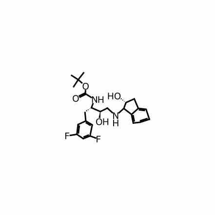 CC(C)(C)OC(=O)N[C@@H](Cc1cc(F)cc(F)c1)[C@H](O)CNC1c2ccccc2C[C@H]1O